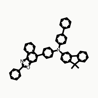 CC1(C)c2ccccc2-c2cc(N(c3ccc(-c4ccccc4)cc3)c3ccc(-c4cc5oc(-c6ccccc6)nc5c5ccccc45)cc3)ccc21